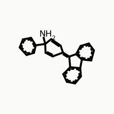 NC1(c2ccccc2)C=CC(=C2c3ccccc3-c3ccccc32)C=C1